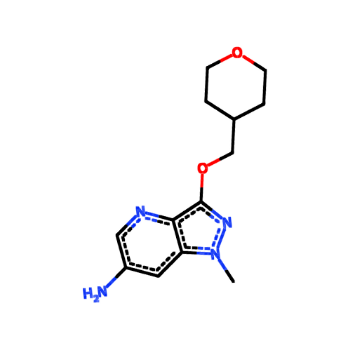 Cn1nc(OCC2CCOCC2)c2ncc(N)cc21